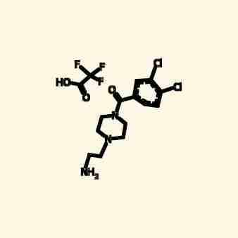 NCCN1CCN(C(=O)c2ccc(Cl)c(Cl)c2)CC1.O=C(O)C(F)(F)F